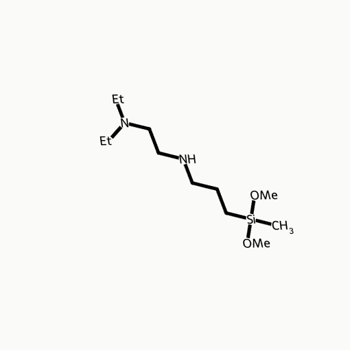 CCN(CC)CCNCCC[Si](C)(OC)OC